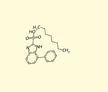 CCCCCCCC.O=S(=O)(O)c1nc2cccc(-c3ccccc3)c2[nH]1